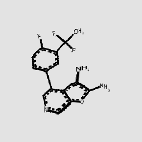 CC(F)(F)c1cc(-c2cncc3oc(N)c(N)c23)ccc1F